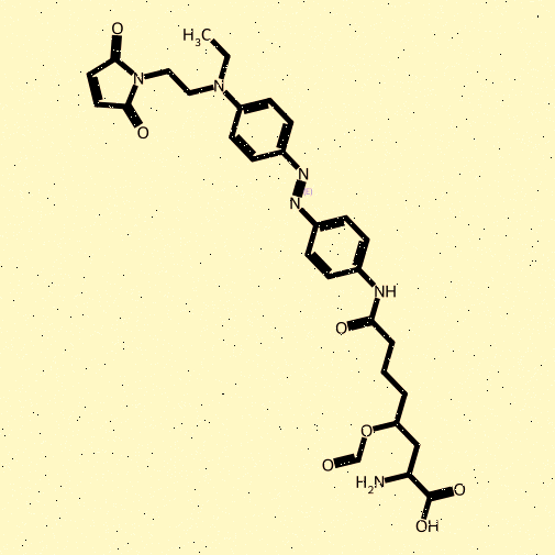 CCN(CCN1C(=O)C=CC1=O)c1ccc(/N=N/c2ccc(NC(=O)CCCC(CC(N)C(=O)O)OC=O)cc2)cc1